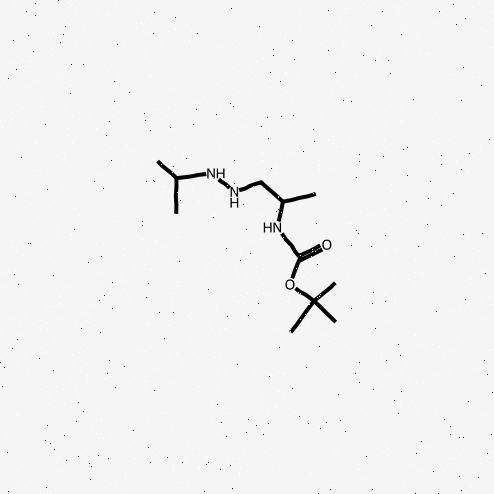 CC(C)NNCC(C)NC(=O)OC(C)(C)C